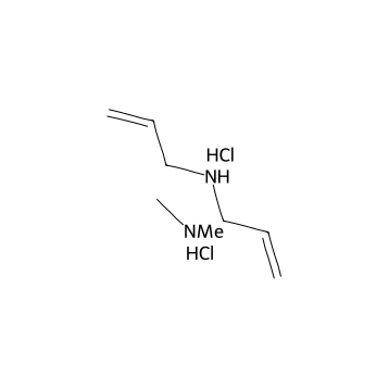 C=CCNCC=C.CNC.Cl.Cl